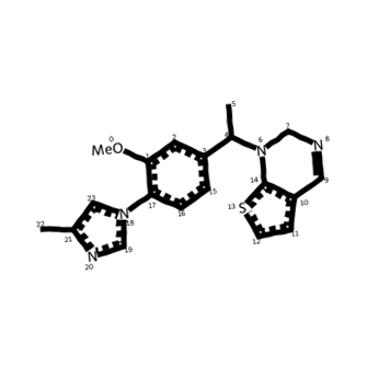 COc1cc(C(C)N2CN=Cc3ccsc32)ccc1-n1cnc(C)c1